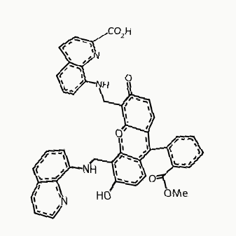 COC(=O)c1ccccc1-c1c2ccc(=O)c(CNc3cccc4ccc(C(=O)O)nc34)c-2oc2c(CNc3cccc4cccnc34)c(O)ccc12